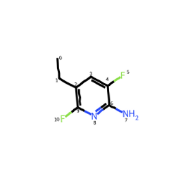 CCc1cc(F)c(N)nc1F